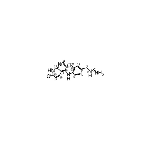 NSNCc1ccc(Nc2ccnc3[nH]c(=O)ccc23)c(Cl)c1